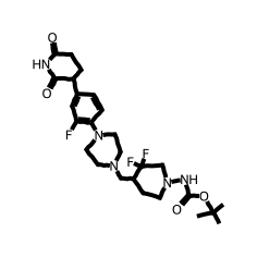 CC(C)(C)OC(=O)NN1CCC(CN2CCN(c3ccc(C4CCC(=O)NC4=O)cc3F)CC2)C(F)(F)C1